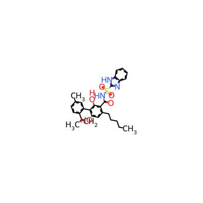 C=C(C)c1ccc(C)cc1-c1c(O)cc(CCCCC)c(C(=O)NS(=O)(=O)c2nc3ccccc3[nH]2)c1O